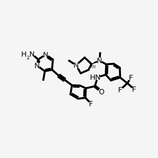 Cc1nc(N)ncc1C#Cc1ccc(F)c(C(=O)Nc2cc(C(F)(F)F)ccc2N(C)[C@H]2CCN(C)C2)c1